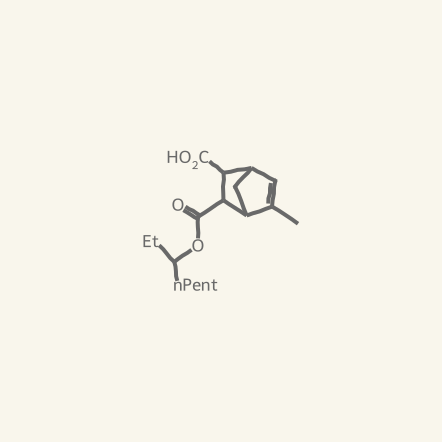 CCCCCC(CC)OC(=O)C1C2CC(C=C2C)C1C(=O)O